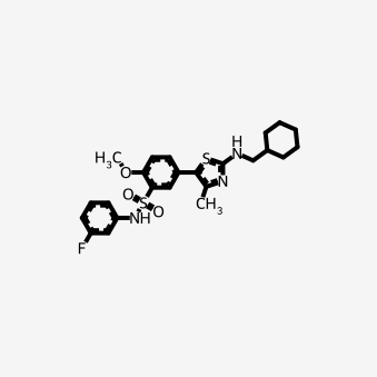 COc1ccc(-c2sc(NCC3CCCCC3)nc2C)cc1S(=O)(=O)Nc1cccc(F)c1